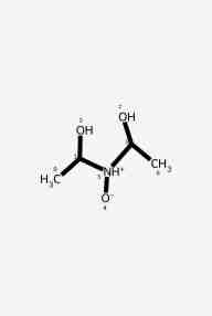 CC(O)[NH+]([O-])C(C)O